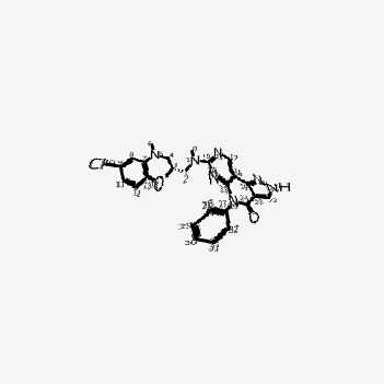 CN(C[C@H]1CN(C)c2cc(Cl)ccc2O1)c1ncc2c3n[nH]cc3c(=O)n(-c3ccccc3)c2n1